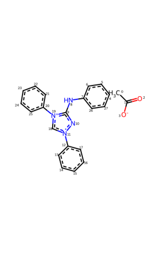 CC(=O)[O-].c1ccc(Nc2nn(-c3ccccc3)c[n+]2-c2ccccc2)cc1